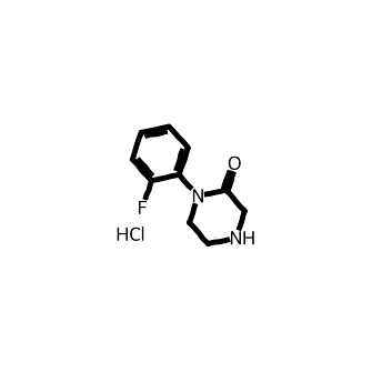 Cl.O=C1CNCCN1c1ccccc1F